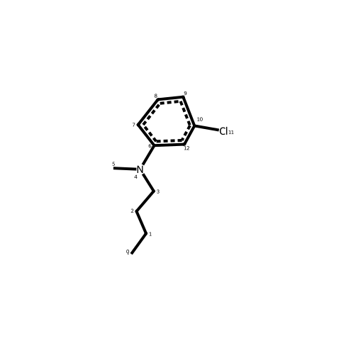 [CH2]CCCN(C)c1cccc(Cl)c1